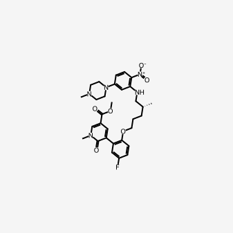 COC(=O)c1cc(-c2cc(F)ccc2OCCC[C@@H](C)CNc2cc(N3CCN(C)CC3)ccc2[N+](=O)[O-])c(=O)n(C)c1